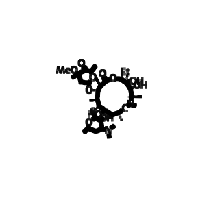 CC[C@H]1OC(=O)[C@H](C)[C@@H](OC2CC(C)(OC)C(=O)C(C)O2)[C@H](C)[C@@H](OC2OC(C)CC(N(C)C)C2O)[C@](C)(O)C[C@@H](C)CN(C)[C@H](C)[C@@H](O)[C@]1(C)O